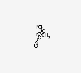 Cn1c(C(=O)c2cccnc2)cnc1OCCCN1CCCCC1